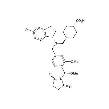 COc1cc(CN(C[C@H]2CC[C@H](C(=O)O)CC2)[C@H]2CCc3cc(Cl)ccc32)ccc1C(OC)N1C(=O)CCC1=O